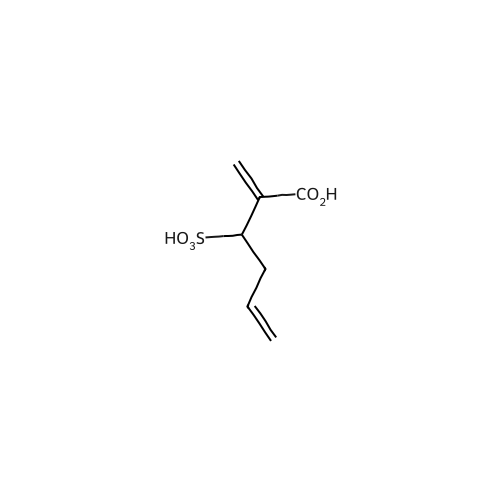 C=CCC(C(=C)C(=O)O)S(=O)(=O)O